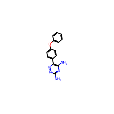 Nc1nnc(-c2ccc(Oc3ccccc3)cc2)c(N)n1